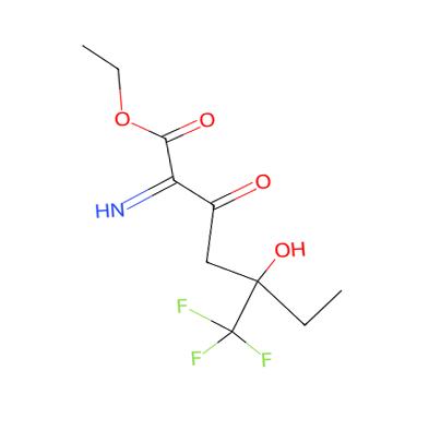 CCOC(=O)C(=N)C(=O)CC(O)(CC)C(F)(F)F